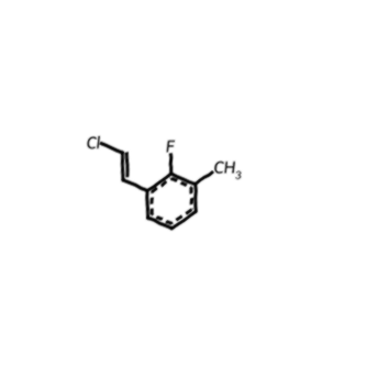 Cc1cccc(C=[C]Cl)c1F